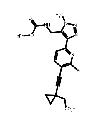 CCCOC(=O)NCc1c(-c2ccc(C#CC3(CC(=O)O)CC3)c(CC)n2)nnn1C